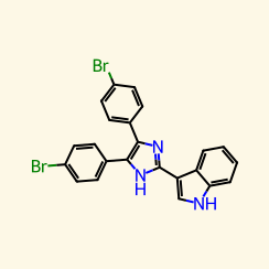 Brc1ccc(-c2nc(-c3c[nH]c4ccccc34)[nH]c2-c2ccc(Br)cc2)cc1